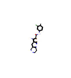 Cc1ccc(NC(=O)c2sc3nc4c(cc3c2N)CN(C)CC4)cc1Cl